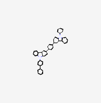 C1=CCC(N2C3=CCC(C4=CCC(C5=CC6c7ccccc7N(c7ccc(-c8ccccc8)cc7)C6C=C5)C=C4)CC3c3ccccc32)C=C1